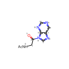 CC(=O)NCC(=O)n1cnc2cncnc21